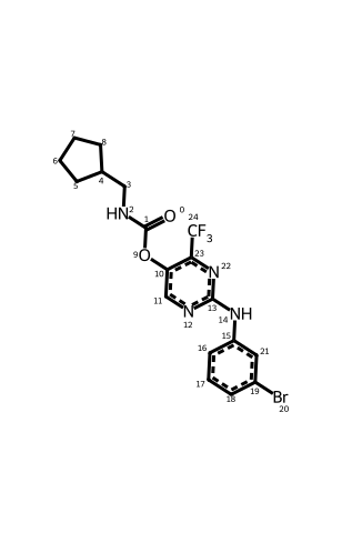 O=C(NCC1CCCC1)Oc1cnc(Nc2cccc(Br)c2)nc1C(F)(F)F